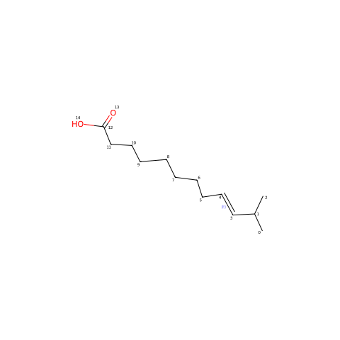 CC(C)/C=C/CCCCCCCC(=O)O